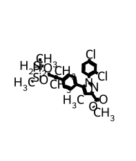 COC(=O)c1nn(-c2ccc(Cl)cc2Cl)c(-c2ccc(C(C)(C)C(O[SiH2]C)O[SiH2]C)cc2)c1C